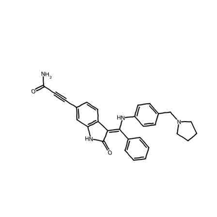 NC(=O)C#Cc1ccc2c(c1)NC(=O)C2=C(Nc1ccc(CN2CCCC2)cc1)c1ccccc1